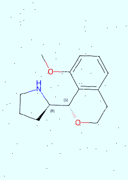 COc1cccc2c1[C@@H]([C@H]1CCCN1)OCC2